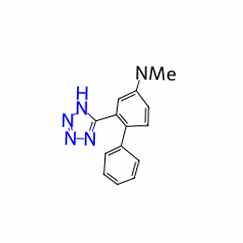 CNc1ccc(-c2ccccc2)c(-c2nnn[nH]2)c1